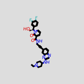 CCN1CCC(Nc2cnc3ccc(C#CCNC(=O)c4cccn([C@@H](CO)c5ccc(F)c(F)c5)c4=O)cc3n2)CC1